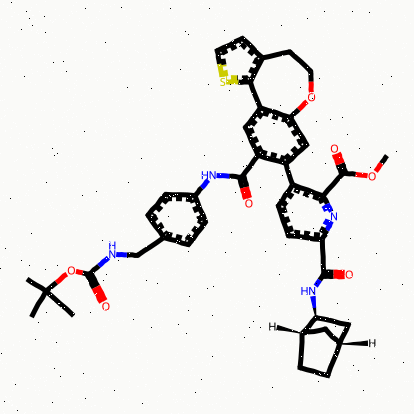 COC(=O)c1nc(C(=O)N[C@H]2C[C@@H]3CC[C@H]2C3)ccc1-c1cc2c(cc1C(=O)Nc1ccc(CNC(=O)OC(C)(C)C)cc1)-c1sccc1CCO2